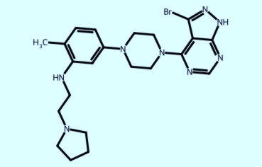 Cc1ccc(N2CCN(c3ncnc4[nH]nc(Br)c34)CC2)cc1NCCN1CCCC1